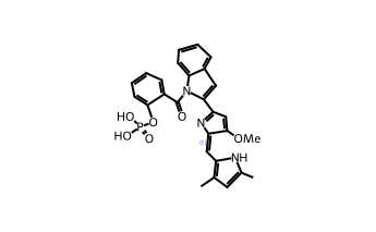 COC1=CC(c2cc3ccccc3n2C(=O)c2ccccc2OP(=O)(O)O)=N/C1=C/c1[nH]c(C)cc1C